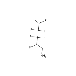 NCC(F)C(F)(F)C(F)(F)C(F)F